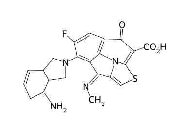 CN=c1c2c(N3CC4C=CCC(N)C4C3)c(F)cc3c(=O)c(C(=O)O)c4scc1n4c32